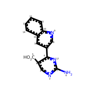 Nc1ncc(C(=O)O)c(-c2cnc3ccccc3c2)n1